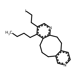 CCCCc1c(CCI)cnc2c1CCCc1cnccc1CC2